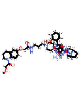 COCC(=O)N1CCCc2cc(OCC(=O)NCCCN3CCC(c4cnc(N5C6CCC5CN(c5cc(-c7ccccc7O)nnc5N)C6)nc4)CC3)ccc21